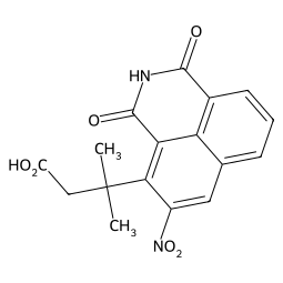 CC(C)(CC(=O)O)c1c([N+](=O)[O-])cc2cccc3c2c1C(=O)NC3=O